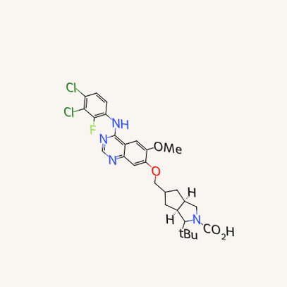 COc1cc2c(Nc3ccc(Cl)c(Cl)c3F)ncnc2cc1OCC1C[C@H]2CN(C(=O)O)C(C(C)(C)C)[C@H]2C1